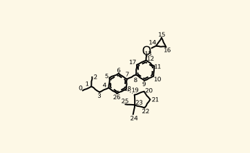 CC(C)Cc1ccc(-c2cccc(OC3CC3)c2)c([C@@H]2CCCC2(C)C)c1